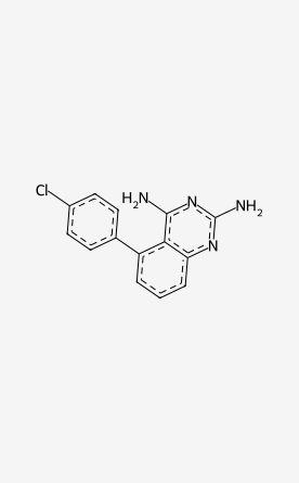 Nc1nc(N)c2c(-c3ccc(Cl)cc3)cccc2n1